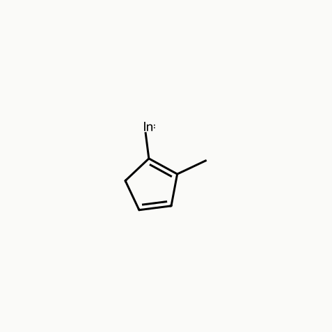 CC1=[C]([In])CC=C1